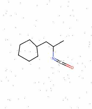 CC(C[C]1CCCCC1)N=C=O